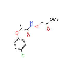 COC(=O)CONC(=O)C(C)Oc1ccc(Cl)cc1